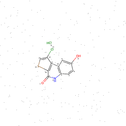 Cl.O=c1[nH]c2ccc(O)cc2c2c(Cl)csc12